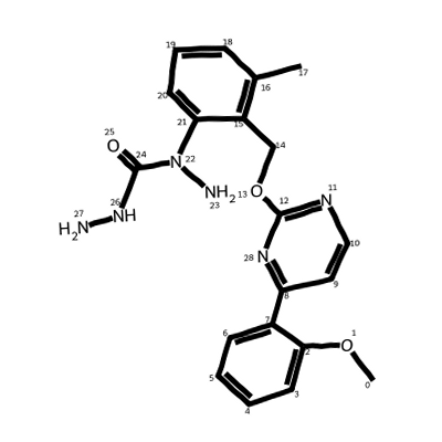 COc1ccccc1-c1ccnc(OCc2c(C)cccc2N(N)C(=O)NN)n1